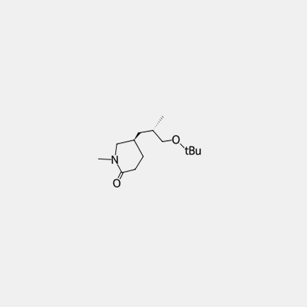 C[C@H](COC(C)(C)C)C[C@H]1CCC(=O)N(C)C1